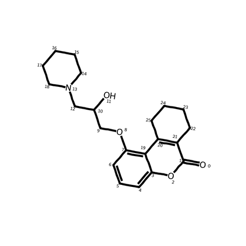 O=c1oc2cccc(OCC(O)CN3CCCCC3)c2c2c1CCCC2